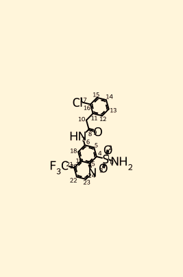 NS(=O)(=O)c1cc(NC(=O)Cc2ccccc2Cl)cc2c(C(F)(F)F)ccnc12